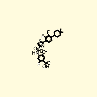 COc1cc(C(=O)O)c(F)cc1NS(=O)(=O)c1csc(-c2ccc(C3CCC(C)(C)CC3)c(F)c2F)n1